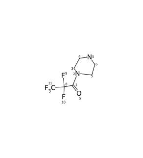 O=C(N1CC[N]CC1)C(F)(F)C(F)(F)F